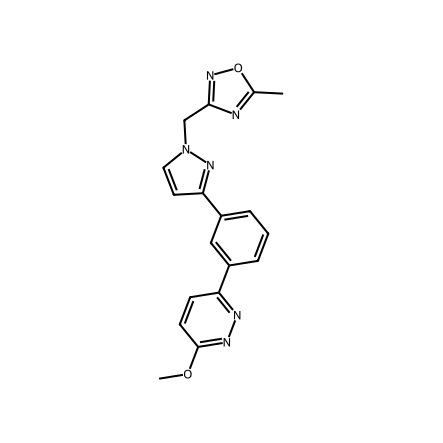 COc1ccc(-c2cccc(-c3ccn(Cc4noc(C)n4)n3)c2)nn1